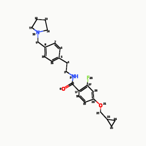 O=C(NCCc1ccc(CN2CCCC2)cc1)c1ccc(OCC2CC2)cc1F